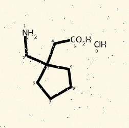 Cl.NCC1(CC(=O)O)CCCC1